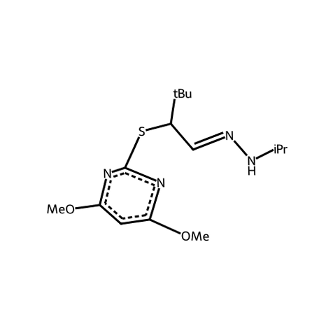 COc1cc(OC)nc(SC(C=NNC(C)C)C(C)(C)C)n1